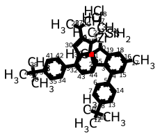 CC1=Cc2c(-c3ccc(C(C)(C)C)cc3)cc(C)cc2[CH]1[Zr]([CH3])([CH3])(=[SiH2])[CH]1C(C(C)C)=Cc2c(-c3ccc(C(C)(C)C)cc3)cccc21.Cl.Cl